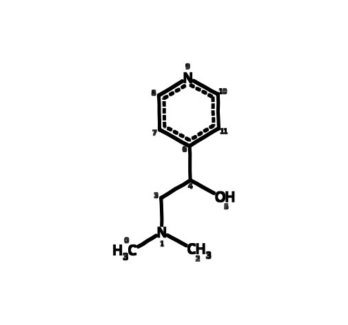 CN(C)CC(O)c1ccncc1